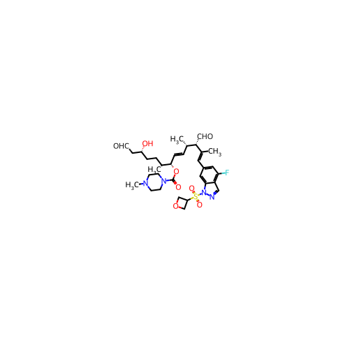 C/C(=C\c1cc(F)c2cnn(S(=O)(=O)C3COC3)c2c1)[C@@H](C=O)[C@@H](C)/C=C/[C@H](OC(=O)N1CCN(C)CC1)[C@@H](C)CC[C@@H](O)CC=O